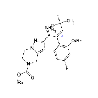 COc1cc(F)ccc1/C(=C/C(C)(C)F)C(=N)c1cc2n(n1)CCN(C(=O)OC(C)(C)C)C2